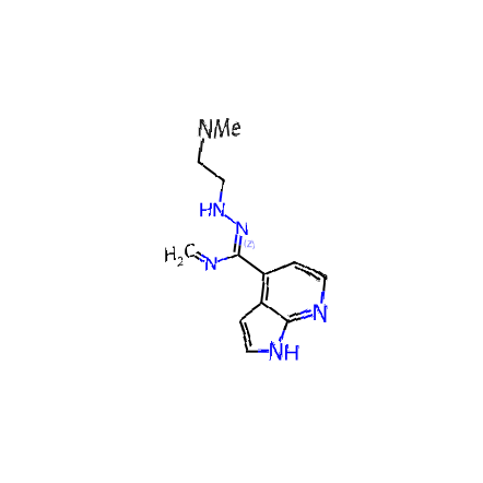 C=N/C(=N\NCCNC)c1ccnc2[nH]ccc12